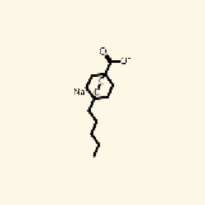 CCCCCC12CCC(C(=O)[O-])(CC1)CC2.[Na+]